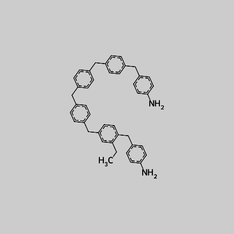 CCc1cc(Cc2ccc(Cc3ccc(Cc4ccc(Cc5ccc(N)cc5)cc4)cc3)cc2)ccc1Cc1ccc(N)cc1